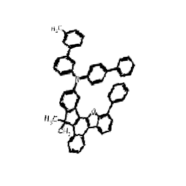 Cc1cccc(-c2cccc(N(c3ccc(-c4ccccc4)cc3)c3ccc4c(c3)-c3c(c5ccccc5c5c3oc3c(-c6ccccc6)cccc35)C4(C)C)c2)c1